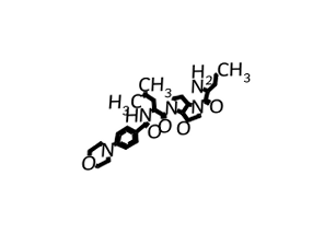 CCCC(N)C(=O)N1CC(=O)C2C1CCN2C(=O)C(CC(C)C)NC(=O)c1ccc(N2CCOCC2)cc1